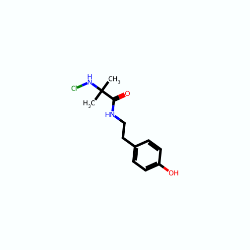 CC(C)(NCl)C(=O)NCCc1ccc(O)cc1